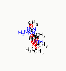 CCOc1nc(N)nc2c1ncn2[C@@H]1O[C@@H]2CO[P@](=O)(N[C@@H](C)C(=O)OC(C)C)O[C@H]2[C@@H]1C